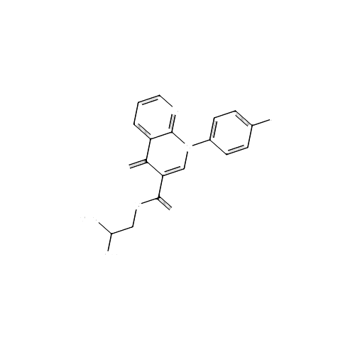 CNC(CNC(=O)c1cn(-c2ccc(F)cc2)c2ncccc2c1=O)NC